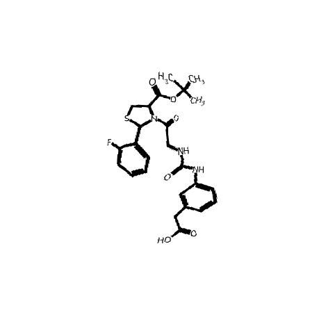 CC(C)(C)OC(=O)C1CSC(c2ccccc2F)N1C(=O)CNC(=O)Nc1cccc(CC(=O)O)c1